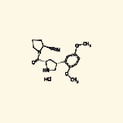 COc1ccc(OC)c([C@@H]2CN[C@H](C(=O)N3CCC[C@H]3C#N)C2)c1.Cl